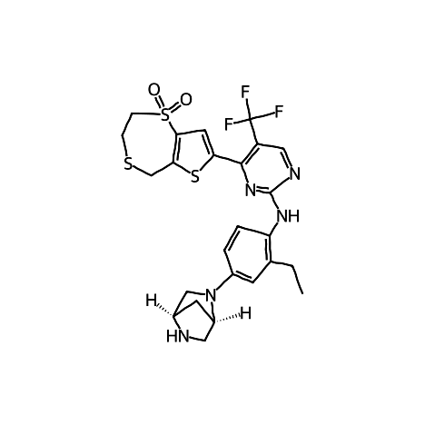 CCc1cc(N2C[C@H]3C[C@@H]2CN3)ccc1Nc1ncc(C(F)(F)F)c(-c2cc3c(s2)CSCCS3(=O)=O)n1